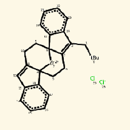 CC(C)(C)CC1=C2CC[C]34[Zr+2][C]2(CCC3=Cc2ccccc24)c2ccccc21.[Cl-].[Cl-]